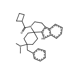 CN(C)C1(Cc2ccccc2)CCC2(CC1)c1[nH]c3ccccc3c1CCN2C(=O)C1CCC1